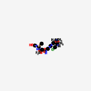 CCn1c(C)c(S(=O)(=O)N(C)C)c(-c2cccc(N3CCN(c4ccc(NS(=O)(=O)c5ccc(N[C@H](CCN6CCC(O)CC6)CSc6ccccc6)c(S(=O)(=O)C(F)(F)F)c5)cc4)CC3)c2)c1-c1ccc(Cl)cc1